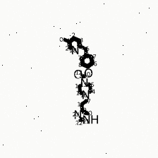 Cc1ccc(Cc2ccc(OC(=O)N3CCN(CCc4c[nH]cn4)CC3)cc2)nc1